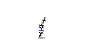 CCCCCCCCCCCCc1cnc(-c2ccc(OCCC(C)F)c(F)c2)nc1